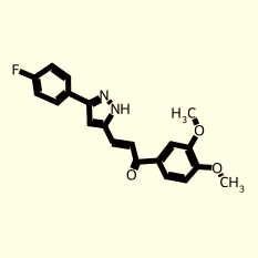 COc1ccc(C(=O)C=Cc2cc(-c3ccc(F)cc3)n[nH]2)cc1OC